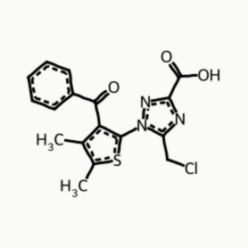 Cc1sc(-n2nc(C(=O)O)nc2CCl)c(C(=O)c2ccccc2)c1C